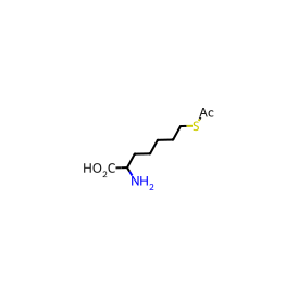 CC(=O)SCCCCCC(N)C(=O)O